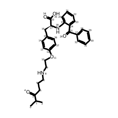 CC(C)C(=O)CCCNCCOc1ccc(C[C@H](Nc2ccccc2C(=O)c2ccccc2)C(=O)O)cc1